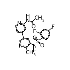 CC(=O)Nc1cc(-c2cnc(C)c(NS(=O)(=O)c3ccc(F)cc3F)c2)ccn1